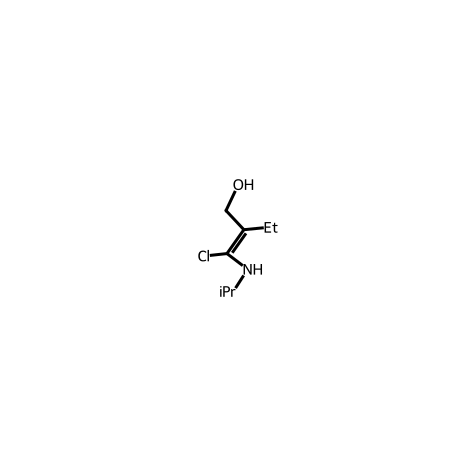 CC/C(CO)=C(/Cl)NC(C)C